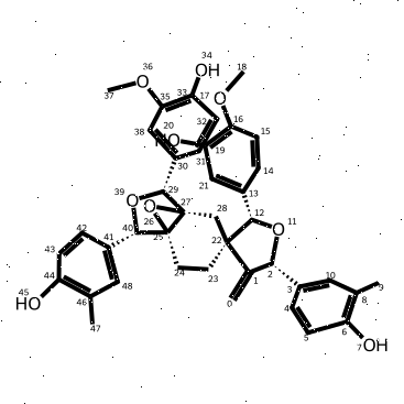 C=C1[C@@H](c2ccc(O)c(C)c2)O[C@@H](c2ccc(OC)c(O)c2)[C@@]12CC[C@]13O[C@@]1(C2)[C@@H](c1ccc(O)c(OC)c1)O[C@H]3c1ccc(O)c(C)c1